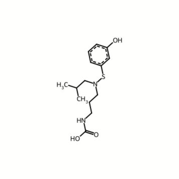 CC(C)CN(CCCNC(=O)O)Sc1cccc(O)c1